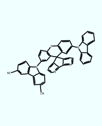 N#Cc1ccc2c(c1)c1cc(C#N)ccc1n2-c1ccc2c(c1)C1(c3cc(-n4c5ccccc5c5ccccc54)ccc3S2)c2cccnc2-c2ncccc21